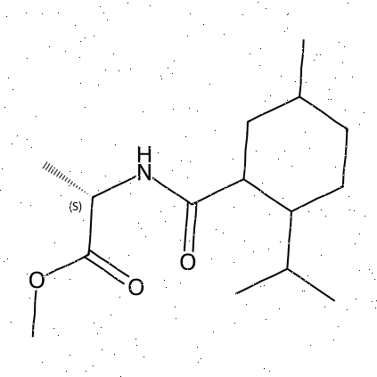 COC(=O)[C@H](C)NC(=O)C1CC(C)CCC1C(C)C